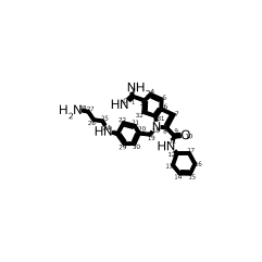 N=C(N)c1ccc2cc(C(=O)NC3CC=CCC3)n(Cc3ccc(NCCCN)cc3)c2c1